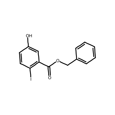 O=C(OCc1ccccc1)c1cc(O)ccc1I